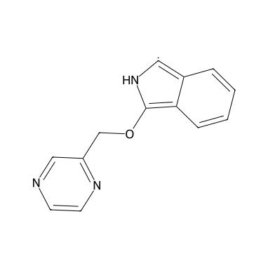 [c]1[nH]c(OCc2cnccn2)c2ccccc12